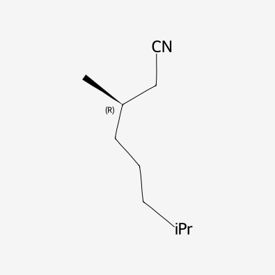 CC(C)CCC[C@@H](C)CC#N